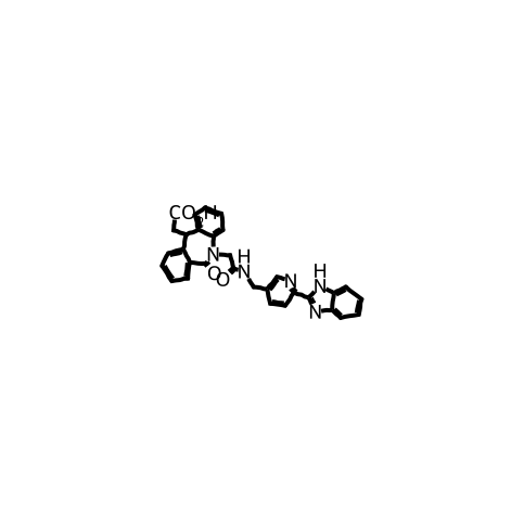 O=C(O)CC1c2ccccc2C(=O)N(CC(=O)NCc2ccc(-c3nc4ccccc4[nH]3)nc2)c2ccccc21